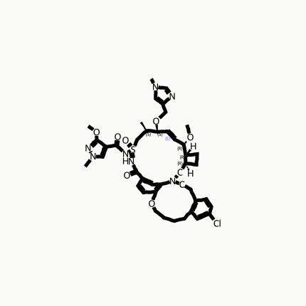 COc1nn(C)cc1C(=O)NS1(=O)=NC(=O)c2ccc3c(c2)N(CCc2ccc(Cl)cc2CCCCO3)C[C@@H]2CC[C@H]2[C@@H](OC)/C=C/[C@H](OCc2cn(C)cn2)[C@H](C)C1